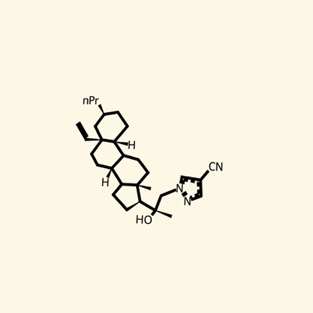 C=C[C@]12CC[C@@H]3C(CC[C@@]4(C)C3CC[C@@H]4[C@@](C)(O)Cn3cc(C#N)cn3)[C@H]1CC[C@H](CCC)C2